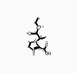 CCOC(=O)C(C)n1ccnc1C(=O)O